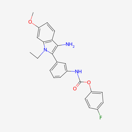 CCn1c(-c2cccc(NC(=O)Oc3ccc(F)cc3)c2)c(N)c2ccc(OC)cc21